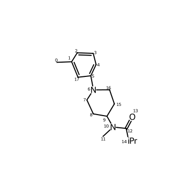 Cc1cccc(N2CCC(N(C)C(=O)C(C)C)CC2)c1